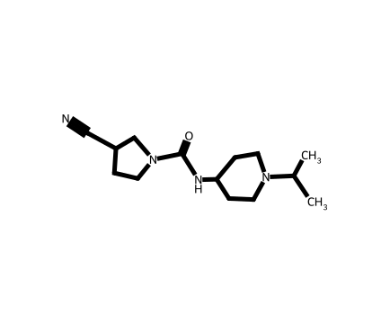 CC(C)N1CCC(NC(=O)N2CCC(C#N)C2)CC1